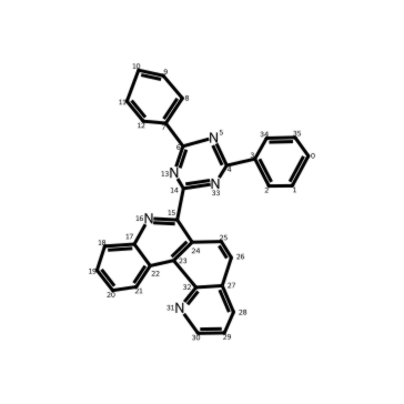 c1ccc(-c2nc(-c3ccccc3)nc(-c3nc4ccccc4c4c3ccc3cccnc34)n2)cc1